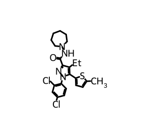 CCc1c(C(=O)NN2CCCCCC2)nn(-c2ccc(Cl)cc2Cl)c1-c1ccc(C)s1